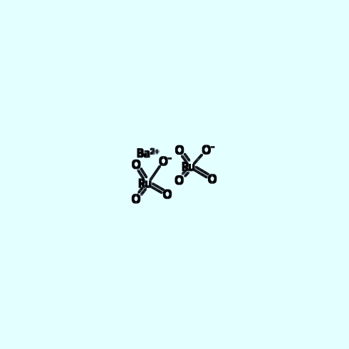 [Ba+2].[O]=[Ru](=[O])(=[O])[O-].[O]=[Ru](=[O])(=[O])[O-]